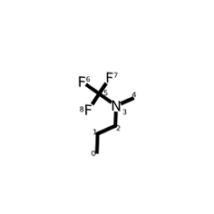 CCCN(C)C(F)(F)F